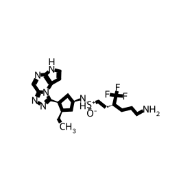 CC[C@@H]1C[C@H](N[S+]([O-])CC[C@@H](CCCN)C(F)(F)F)C[C@@H]1c1nnc2cnc3[nH]ccc3n12